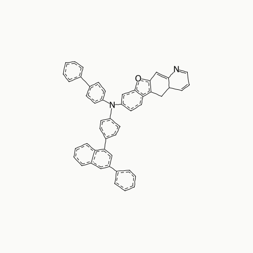 C1=CC2Cc3c(oc4cc(N(c5ccc(-c6ccccc6)cc5)c5ccc(-c6cc(-c7ccccc7)cc7ccccc67)cc5)ccc34)C=C2N=C1